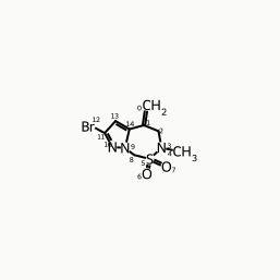 C=C1CN(C)S(=O)(=O)Cn2nc(Br)cc21